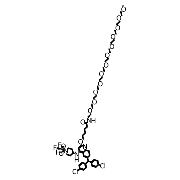 COCCOCCOCCOCCOCCOCCOCCOCCOCCOCCOCCOCCNC(=O)CCCCCOc1cc(NC2CCN(S(=O)(=O)C(F)(F)F)CC2)c2cc(C(c3ccc(Cl)cc3)c3ccc(Cl)cc3)ccc2n1